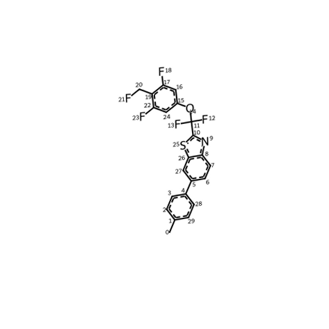 Cc1ccc(-c2ccc3nc(C(F)(F)Oc4cc(F)c(CF)c(F)c4)sc3c2)cc1